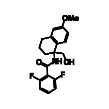 COc1ccc2c(c1)CCCC2(CO)NC(=O)c1c(F)cccc1F